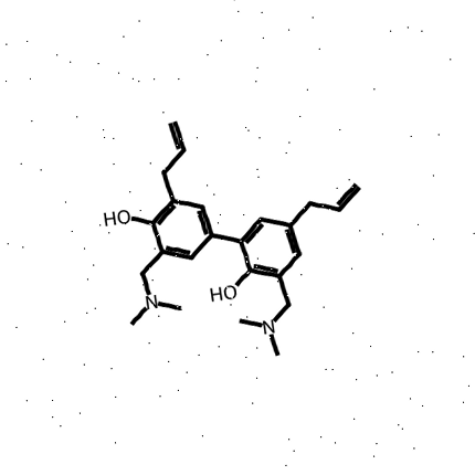 C=CCc1cc(CN(C)C)c(O)c(-c2cc(CC=C)c(O)c(CN(C)C)c2)c1